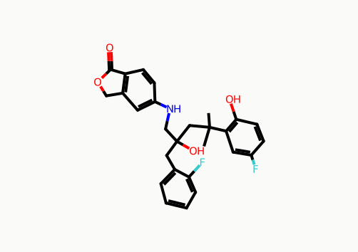 CC(C)(CC(O)(CNc1ccc2c(c1)COC2=O)Cc1ccccc1F)c1cc(F)ccc1O